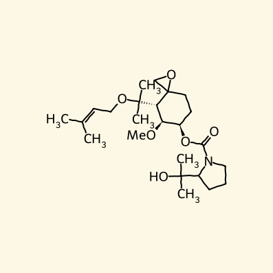 CO[C@H]1[C@H](C(C)(C)OCC=C(C)C)C2(CC[C@H]1OC(=O)N1CCCC1C(C)(C)O)CO2